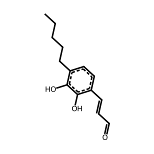 CCCCCc1ccc(C=CC=O)c(O)c1O